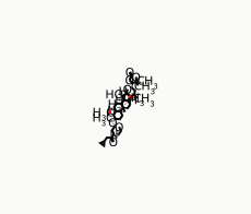 C[C@@H]1C[C@H](C2OC(=O)OC2(C)C)O[C@H]2[C@H]1[C@@]1(C)CC[C@@]34C[C@@]35CC[C@H](O[C@H]3CN(C(=O)CC6CC6)CCO3)C(C)(C)[C@@H]5CC[C@H]4[C@]1(C)[C@H]2O